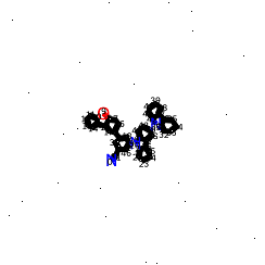 N#Cc1cc(-c2ccc3oc4ccccc4c3c2)cc(-n2c3ccccc3c3cc(-n4c5ccccc5c5ccccc54)ccc32)c1